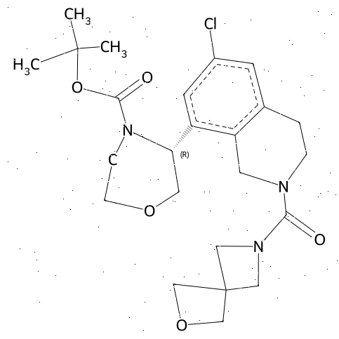 CC(C)(C)OC(=O)N1CCOC[C@H]1c1cc(Cl)cc2c1CN(C(=O)N1CC3(COC3)C1)CC2